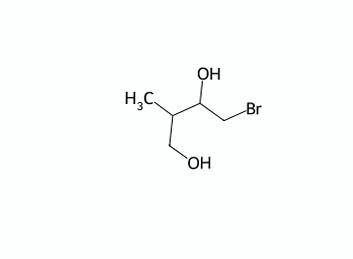 CC(CO)C(O)CBr